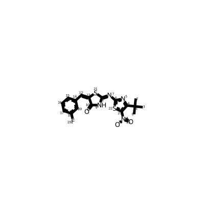 CC(C)(C)c1nc(N=C2NC(=O)C(=Cc3cccc(F)c3)S2)sc1[N+](=O)[O-]